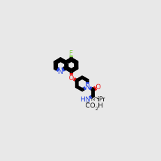 CC(C)[C@H](NC(=O)O)C(=O)N1CCC(Oc2ccc(F)c3cccnc23)CC1